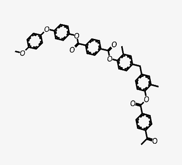 COc1ccc(Oc2ccc(OC(=O)c3ccc(C(=O)Oc4ccc(Cc5ccc(OC(=O)c6ccc(C(C)=O)cc6)c(C)c5)cc4C)cc3)cc2)cc1